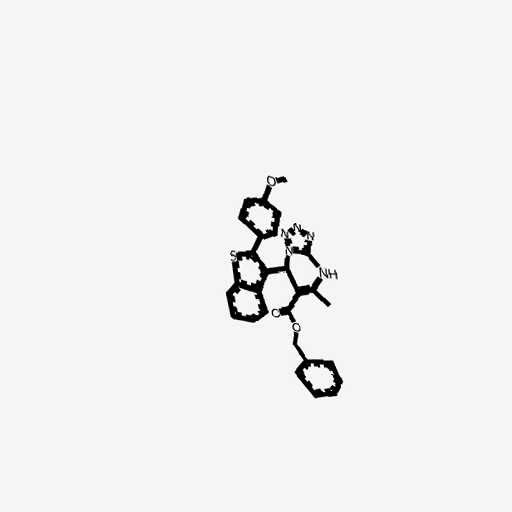 COc1ccc(-c2sc3ccccc3c2C2C(C(=O)OCc3ccccc3)=C(C)Nc3nnnn32)cc1